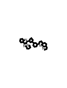 c1cc(-c2cccc(-c3nc4ccccc4c4nc5ccccn5c34)c2)cc(-c2ccc3ccc4cccnc4c3n2)c1